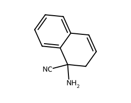 N#CC1(N)CC=Cc2ccccc21